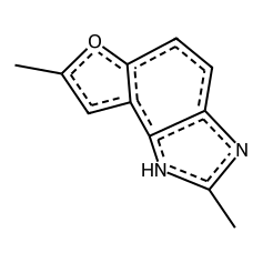 Cc1nc2ccc3oc(C)cc3c2[nH]1